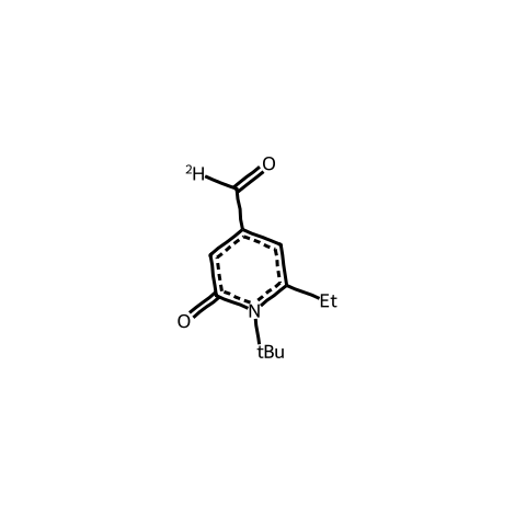 [2H]C(=O)c1cc(CC)n(C(C)(C)C)c(=O)c1